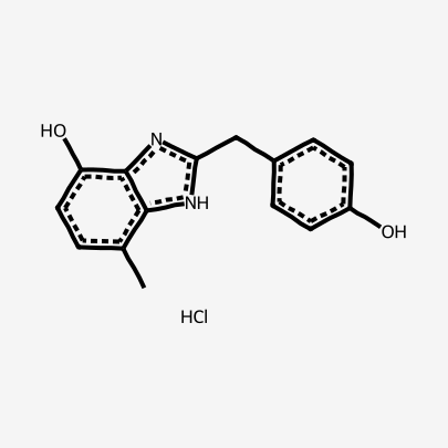 Cc1ccc(O)c2nc(Cc3ccc(O)cc3)[nH]c12.Cl